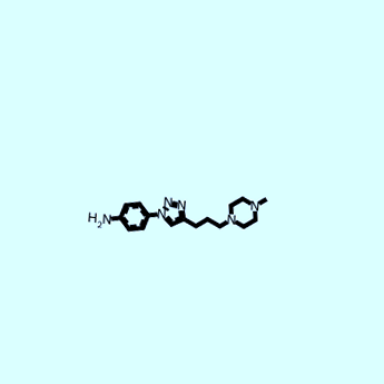 CN1CCN(CCCc2cn(-c3ccc(N)cc3)nn2)CC1